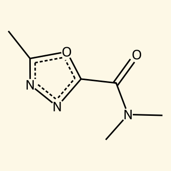 Cc1nnc(C(=O)N(C)C)o1